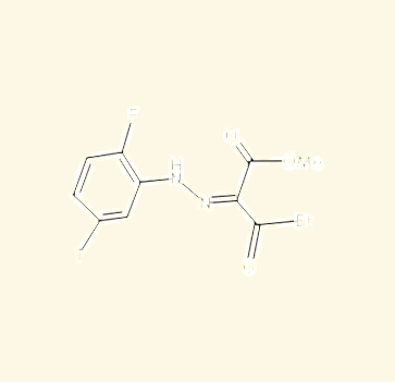 CCC(=O)C(=NNc1cc(I)ccc1F)C(=O)OC